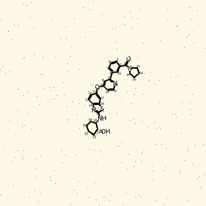 O=C(c1cccc(-c2cc(Oc3ccc4nc(N[C@@H]5CCCC[C@H]5O)sc4c3)ccn2)c1)N1CCCC1